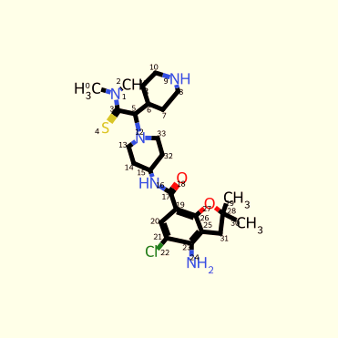 CN(C)C(=S)C(C1CCNCC1)N1CCC(NC(=O)c2cc(Cl)c(N)c3c2OC(C)(C)C3)CC1